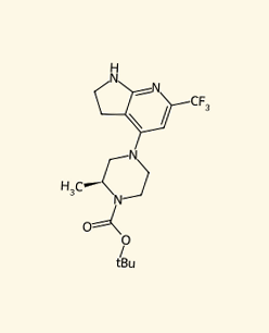 C[C@H]1CN(c2cc(C(F)(F)F)nc3c2CCN3)CCN1C(=O)OC(C)(C)C